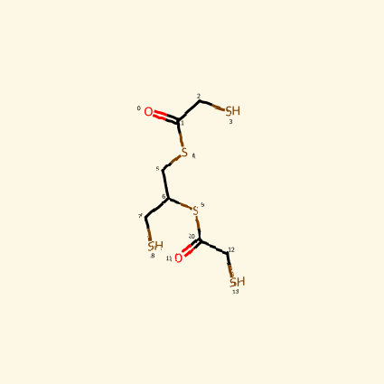 O=C(CS)SCC(CS)SC(=O)CS